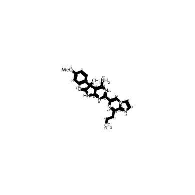 COc1ccc(C2(C)C(=O)Nc3nc(-c4cn5ccnc5c(CCC(F)(F)F)n4)nc(N)c32)cc1